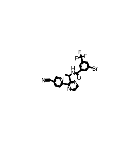 CC(NC(=O)c1cc(Br)cc(C(F)(F)F)c1)c1nccnc1-c1ccc(C#N)cn1